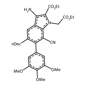 CCCCCCCCCCc1cc2c(N)c(C(=O)OCC)n(CC(=O)OCC)c2c(C#N)c1-c1cc(OC)c(OC)c(OC)c1